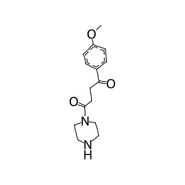 COc1ccc(C(=O)CCC(=O)N2CCNCC2)cc1